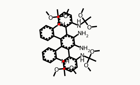 COC(C)(Nc1ccccc1-c1c(N)c(N)c(-c2ccccc2NC(C)(OC)OC)c(-c2ccccc2NC(C)(OC)OC)c1-c1ccccc1NC(C)(OC)OC)OC